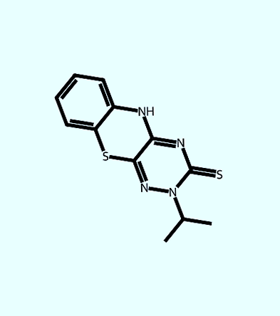 CC(C)n1nc2c(nc1=S)Nc1ccccc1S2